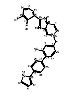 Fc1cc(Cn2ccc3nc(-c4cccc(F)c4F)nc-3c2)ccc1-c1ccc(-c2cccs2)cc1